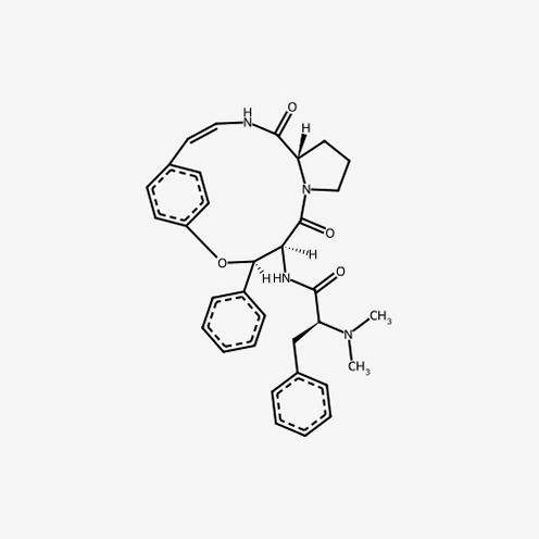 CN(C)[C@@H](Cc1ccccc1)C(=O)N[C@@H]1C(=O)N2CCC[C@H]2C(=O)N/C=C\c2ccc(cc2)O[C@@H]1c1ccccc1